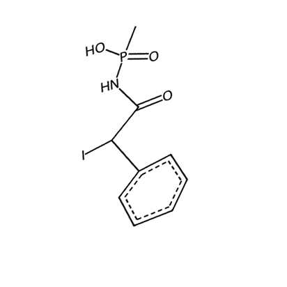 CP(=O)(O)NC(=O)C(I)c1ccccc1